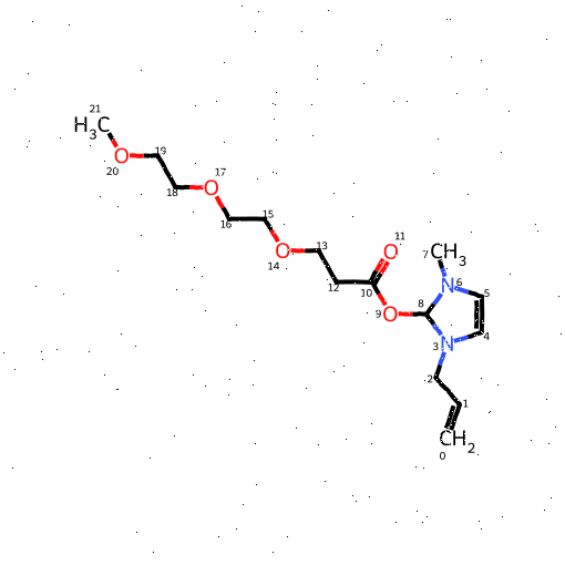 C=CCN1C=CN(C)C1OC(=O)CCOCCOCCOC